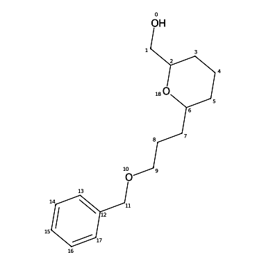 OCC1CCCC(CCCOCc2ccccc2)O1